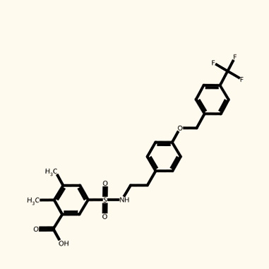 Cc1cc(S(=O)(=O)NCCc2ccc(OCc3ccc(C(F)(F)F)cc3)cc2)cc(C(=O)O)c1C